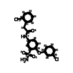 NS(=O)(=O)c1cc(NC(=O)Cc2ccccc2Cl)ccc1Oc1cccc(Cl)c1